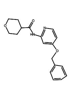 O=C(Nc1cc(OCc2ccccc2)ccn1)C1CCOCC1